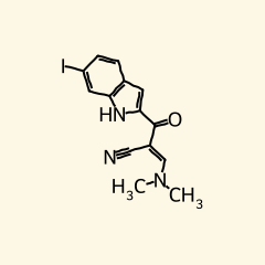 CN(C)C=C(C#N)C(=O)c1cc2ccc(I)cc2[nH]1